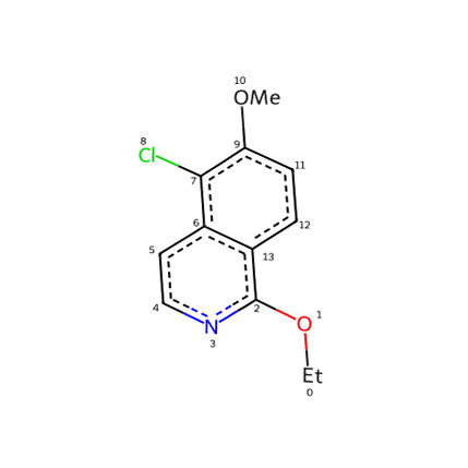 CCOc1nccc2c(Cl)c(OC)ccc12